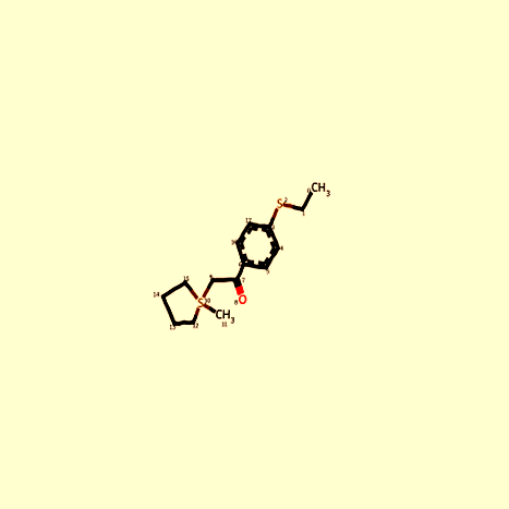 CCSc1ccc(C(=O)CS2(C)CCCC2)cc1